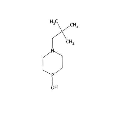 CC(C)(C)CN1CCP(O)CC1